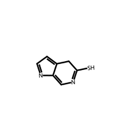 SC1=NC=C2N=CC=C2C1